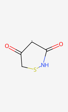 O=C1[CH]C(=O)NSC1